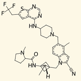 Cc1c(CN2CCC(Nc3ncnc4sc(CC(F)(F)F)cc34)CC2)ccc2c1cc(C#N)n2CC12CC(NC(=O)C3CCCN3C)(C1)[C@H]2C